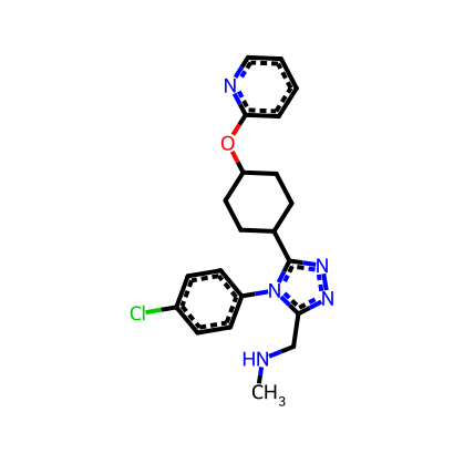 CNCc1nnc(C2CCC(Oc3ccccn3)CC2)n1-c1ccc(Cl)cc1